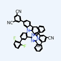 N#Cc1cc(C#N)cc(-c2ccc3c4ccc(-c5cc(C#N)cc(C#N)c5)cc4n(-c4ccc(-c5c(F)cccc5F)cc4-c4nc(-c5ccccc5)nc(-c5ccccc5)n4)c3c2)c1